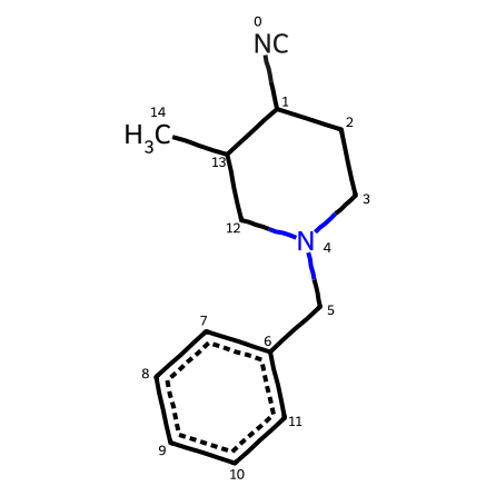 [C-]#[N+]C1CCN(Cc2ccccc2)CC1C